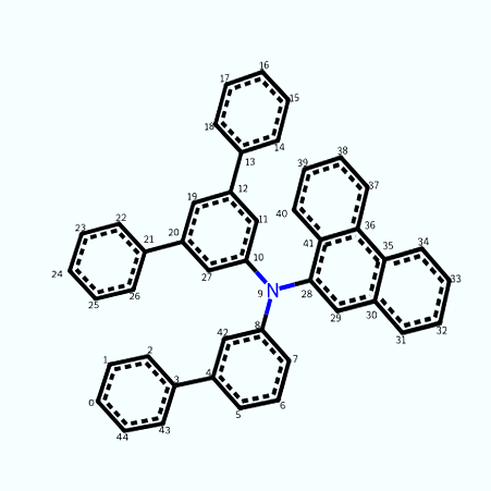 c1ccc(-c2cccc(N(c3cc(-c4ccccc4)cc(-c4ccccc4)c3)c3cc4ccccc4c4ccccc34)c2)cc1